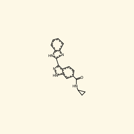 O=C(NC1CC1)c1ccc2c(-c3nc4ccccc4[nH]3)n[nH]c2c1